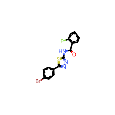 O=C(Nc1nnc(-c2ccc(Br)cc2)s1)c1ccccc1F